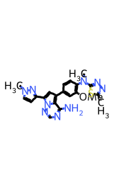 COc1cc(-c2cc(-c3ccn(C)n3)n3ncnc(N)c23)ccc1N(C)c1nnc(C)s1